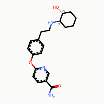 NC(=O)c1ccc(Oc2ccc(CCN[C@@H]3CCCC[C@H]3O)cc2)nc1